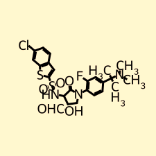 CN(C)C(C)(C)c1ccc(N2CCC(NS(=O)(=O)c3cc4ccc(Cl)cc4s3)C2=O)c(F)c1.O=CO